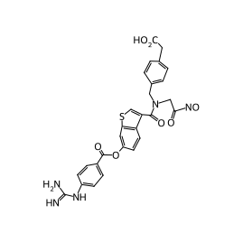 N=C(N)Nc1ccc(C(=O)Oc2ccc3c(C(=O)N(CC(=O)N=O)Cc4ccc(CC(=O)O)cc4)csc3c2)cc1